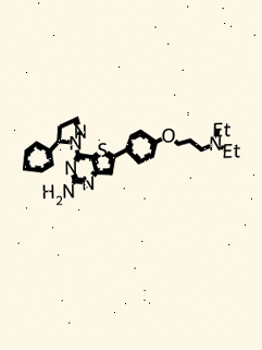 CCN(CC)CCCOc1ccc(-c2cc3nc(N)nc(N4N=CCC4c4ccccc4)c3s2)cc1